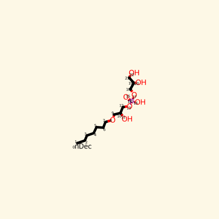 CCCCCCCCCCCCCCCCCOCC(O)COP(=O)(O)OCC(O)CO